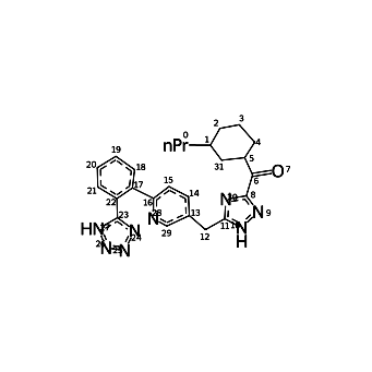 CCCC1CCCC(C(=O)c2n[nH]c(Cc3ccc(-c4ccccc4-c4nnn[nH]4)nc3)n2)C1